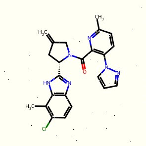 C=C1C[C@@H](c2nc3ccc(Cl)c(C)c3[nH]2)N(C(=O)c2nc(C)ccc2-n2cccn2)C1